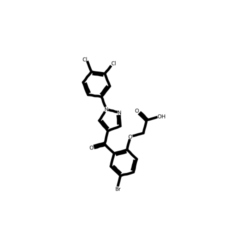 O=C(O)COc1ccc(Br)cc1C(=O)c1cnn(-c2ccc(Cl)c(Cl)c2)c1